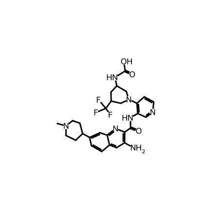 CN1CCC(c2ccc3cc(N)c(C(=O)Nc4cnccc4N4CC(NC(=O)O)CC(C(F)(F)F)C4)nc3c2)CC1